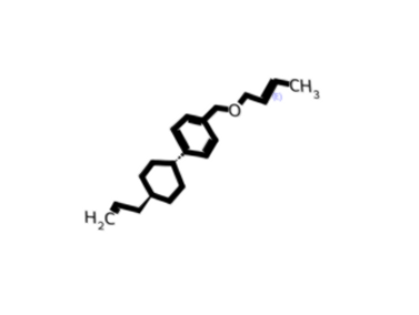 C=CC[C@H]1CC[C@H](c2ccc(COC/C=C/C)cc2)CC1